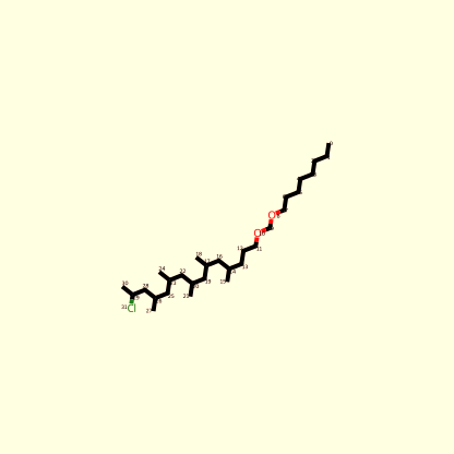 CCCCCCCCOCOCCCC(C)CC(C)CC(C)CC(C)CC(C)CC(C)Cl